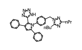 CCCCc1nc(CCC)nn1Cc1ccc(-n2c(-c3ccccc3)cc(-c3ccccc3)c2-c2nnn[nH]2)cc1